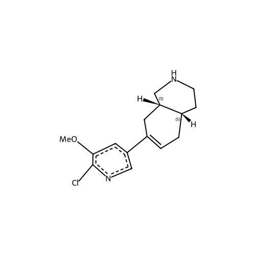 COc1cc(C2=CC[C@H]3CCNC[C@H]3C2)cnc1Cl